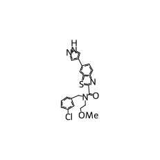 COCCN(Cc1cccc(Cl)c1)C(=O)c1nc2ccc(-c3cn[nH]c3)cc2s1